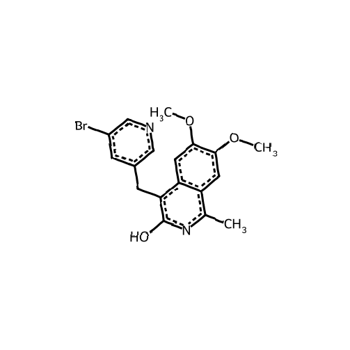 COc1cc2c(C)nc(O)c(Cc3cncc(Br)c3)c2cc1OC